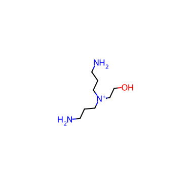 NCCC[N+](CCO)CCCN